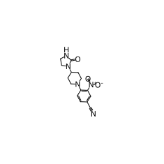 N#Cc1ccc(N2CCC(N3CCNC3=O)CC2)c([N+](=O)[O-])c1